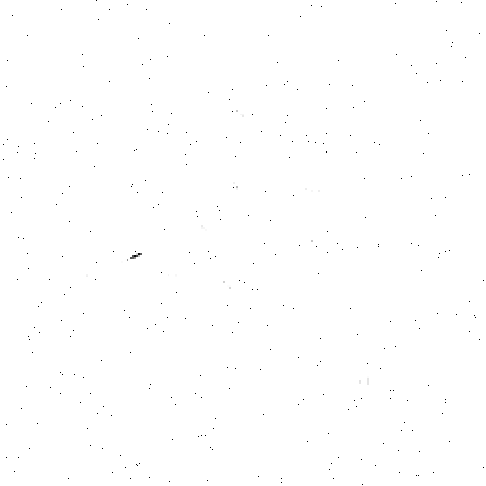 C=C(Cl)c1c(C)ccc2cc(O)cc(-c3nc(OC)c4c(N5C[C@@H](CC)NC[C@H]5C)nc(OC[C@@]56CCCN5C[C@H](F)C6)nc4c3F)c12